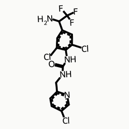 NC(c1cc(Cl)c(NC(=O)NCc2ccc(Cl)cn2)c(Cl)c1)C(F)(F)F